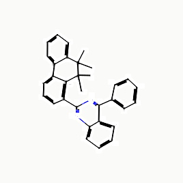 CC1(C)c2ccccc2-c2cccc(-c3nc(-c4ccccc4)c4ccccc4n3)c2C1(C)C